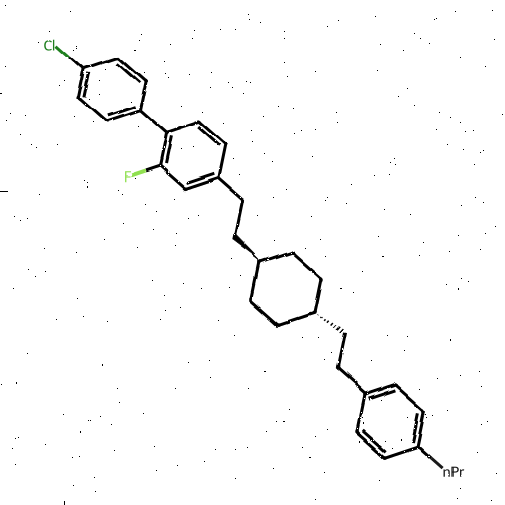 CCCc1ccc(CC[C@H]2CC[C@H](CCc3ccc(-c4ccc(Cl)cc4)c(F)c3)CC2)cc1